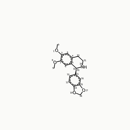 COc1cc2c(cc1OC)[C@H](c1ccc3c(c1)OCO3)NCC2